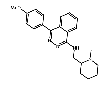 COc1ccc(-c2nnc(NCC3CCCCN3C)c3ccccc23)cc1